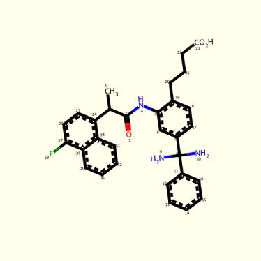 CC(C(=O)Nc1cc(C(N)(N)c2ccccc2)ccc1CCCC(=O)O)c1ccc(F)c2ccccc12